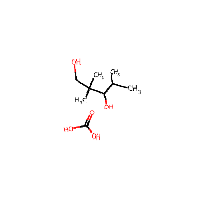 CC(C)C(O)C(C)(C)CO.O=C(O)O